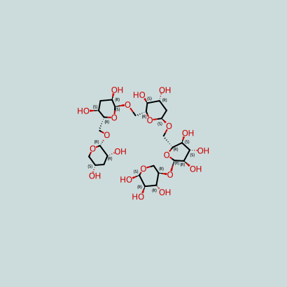 O[C@@H]1CO[C@H](OC[C@H]2O[C@H](OC[C@H]3O[C@H](OC[C@H]4O[C@H](O[C@@H]5CO[C@H](O)[C@H](O)[C@H]5O)[C@H](O)[C@@H](O)[C@@H]4O)C[C@@H](O)[C@@H]3O)[C@H](O)C[C@@H]2O)[C@H](O)C1